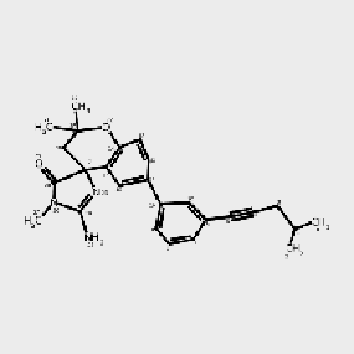 CC(C)CC#Cc1cccc(-c2ccc3c(c2)C2(CC(C)(C)O3)N=C(N)N(C)C2=O)c1